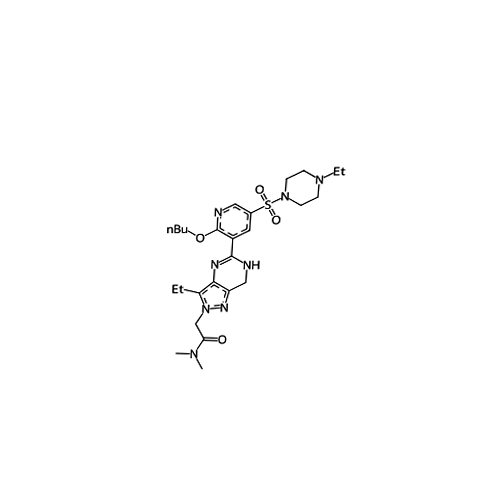 CCCCOc1ncc(S(=O)(=O)N2CCN(CC)CC2)cc1C1=Nc2c(nn(CC(=O)N(C)C)c2CC)CN1